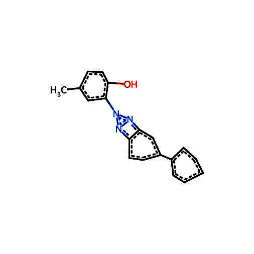 Cc1ccc(O)c(-n2n3c4ccc(-c5ccccc5)cc4n23)c1